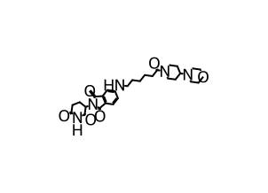 O=C1CCC(N2C(=O)c3ccc(NCCCCCC(=O)N4CCC(N5CCOCC5)CC4)cc3C2=O)C(=O)N1